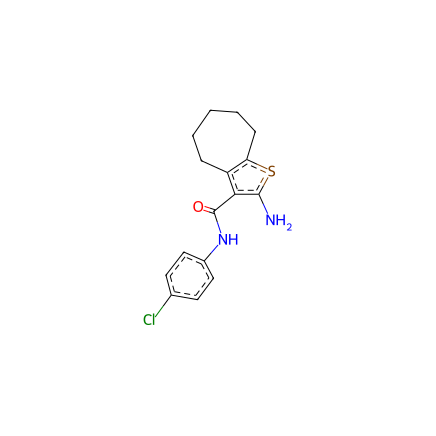 Nc1sc2c(c1C(=O)Nc1ccc(Cl)cc1)CCCCC2